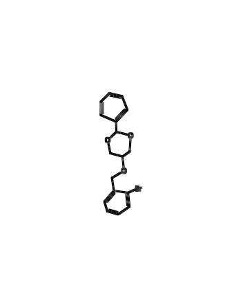 Brc1ccccc1COC1COC(c2ccccc2)OC1